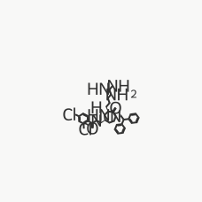 N=C(N)NCCC[C@@H]1N[C@H](CNC(=O)c2ccc(Cl)cc2Cl)CCN(CC(c2ccccc2)c2ccccc2)C1=O